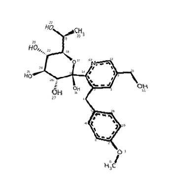 COc1ccc(Cc2cc(CO)cnc2[C@@]2(O)O[C@H]([C@H](C)O)[C@@H](O)[C@H](O)[C@H]2O)cc1